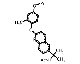 CC(=O)NC(C)(C)c1ccc2nc(Oc3ccc(OC(C)C)cc3C)ccc2c1